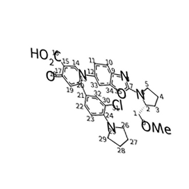 COC[C@H]1CCCN1c1nc2ccc(-n3cc(C(=O)O)c(=O)cc3-c3ccc(N4CCCC4)c(Cl)c3)cc2o1